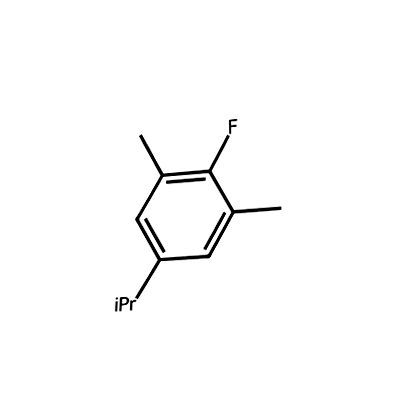 [CH2]C(C)c1cc(C)c(F)c(C)c1